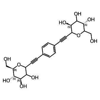 OCC1OC(C#Cc2ccc(C#CC3O[C@H](CO)[C@@H](O)[C@H](O)C3O)cc2)[C@@H](O)C(O)[C@@H]1O